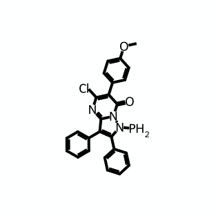 COc1ccc(-c2c(Cl)nc3c(-c4ccccc4)c(-c4ccccc4)n(P)n3c2=O)cc1